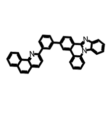 c1cc(-c2ccc3c(c2)c2ccccc2n2c4ccccc4nc32)cc(-c2ccc3ccc4ccccc4c3n2)c1